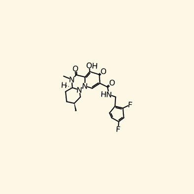 C[C@H]1CC[C@H]2N(C)C(=O)c3c(O)c(=O)c(C(=O)NCc4ccc(F)cc4F)cn3N2C1